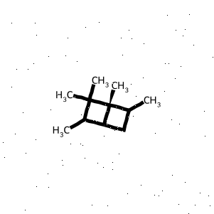 CC1C2CC(C)[C@@]2(C)C1(C)C